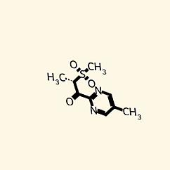 Cc1cnc(C(=O)[C@H](C)S(C)(=O)=O)nc1